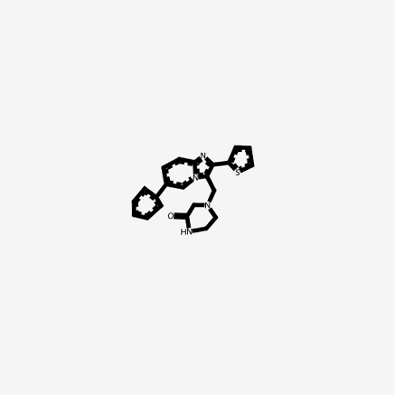 O=C1CN(Cc2c(-c3cccs3)nc3ccc(-c4ccccc4)cn23)CCN1